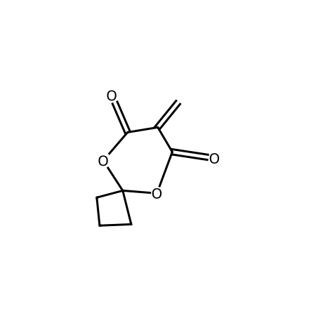 C=C1C(=O)OC2(CCC2)OC1=O